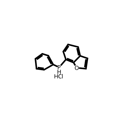 Cl.c1ccc(Pc2cccc3ccoc23)cc1